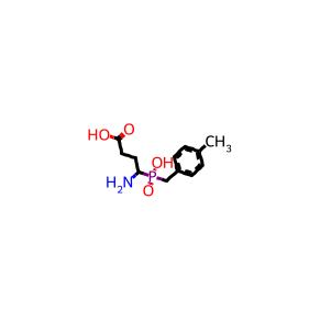 Cc1ccc(CP(=O)(O)C(N)CCC(=O)O)cc1